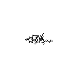 CCOC(=O)C(=O)[C@@]12CC[C@@]3(OC(C)O1)[C@@H]1CCC4=CC(=O)CC[C@]4(C)[C@@]1(F)[C@@H](O)C[C@]23C